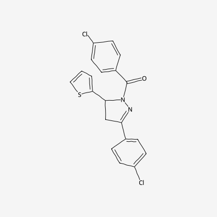 O=C(c1ccc(Cl)cc1)N1N=C(c2ccc(Cl)cc2)CC1c1cccs1